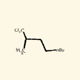 [CH2]C(CCCCCC)C(Cl)(Cl)Cl